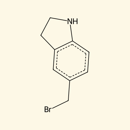 BrCc1ccc2c(c1)CCN2